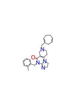 Cc1ccccc1CN1C(=O)C2=C(CCN(CC3=CCCC=CC3)C2)N2CCN=C12